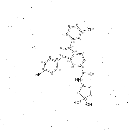 O=C(NC1CCS(O)(O)C1)c1ccc2c(-c3cc(Cl)ccn3)cn(-c3ccc(F)cc3)c2c1